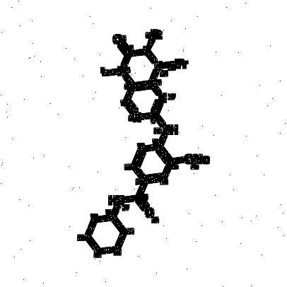 CC[C@@H]1C(=O)N(C)c2cnc(Nc3ccc(C(=O)NC4CCCCC4)cc3OC)nc2N1C(C)C